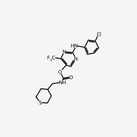 O=C(NCC1CCSCC1)Oc1cnc(Nc2cccc(Cl)c2)nc1C(F)(F)F